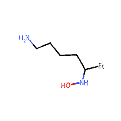 CCC(CCCCN)NO